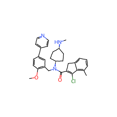 CN[C@H]1CC[C@@H](N(Cc2cc(-c3ccncc3)ccc2OC)C(=O)C2=C(Cl)c3c(C)cccc3C2)CC1